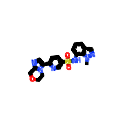 Cn1ncc2cccc(NS(=O)(=O)c3ccc(-c4cnc5n4CCOC5)nc3)c21